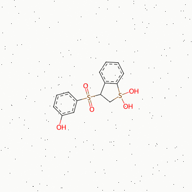 O=S(=O)(c1cccc(O)c1)C1CS(O)(O)c2ccccc21